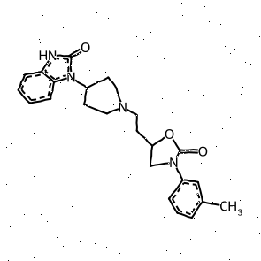 Cc1cccc(N2CC(CCN3CCC(n4c(=O)[nH]c5ccccc54)CC3)OC2=O)c1